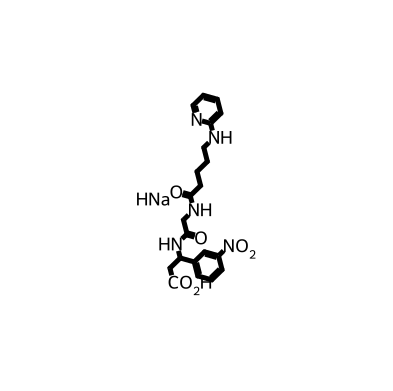 O=C(O)CC(NC(=O)CNC(=O)CCCCNc1ccccn1)c1cccc([N+](=O)[O-])c1.[NaH]